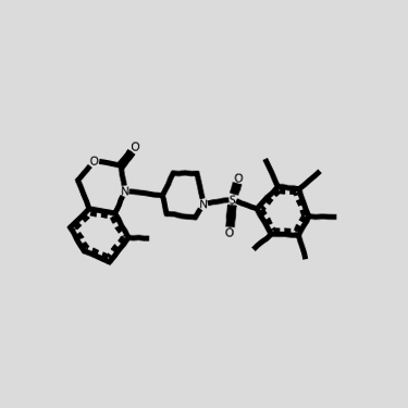 Cc1cccc2c1N(C1CCN(S(=O)(=O)c3c(C)c(C)c(C)c(C)c3C)CC1)C(=O)OC2